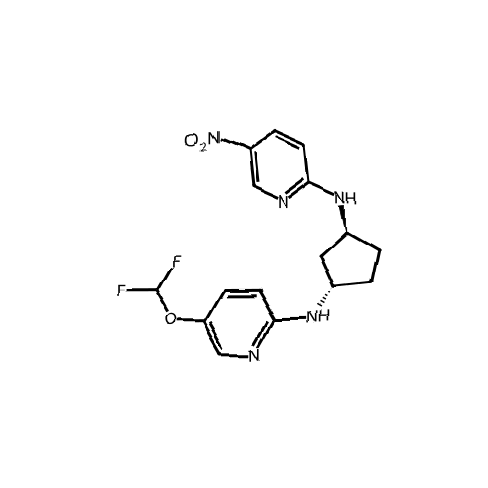 O=[N+]([O-])c1ccc(N[C@H]2CC[C@H](Nc3ccc(OC(F)F)cn3)C2)nc1